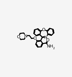 NC(=O)c1cccc(OCCN2CCOCC2)c1C1=Nc2ccccc2Oc2ccccc21